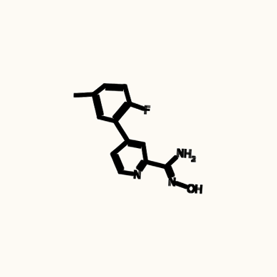 Cc1ccc(F)c(-c2ccnc(/C(N)=N/O)c2)c1